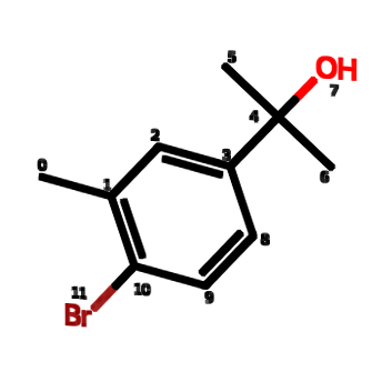 Cc1cc(C(C)(C)O)ccc1Br